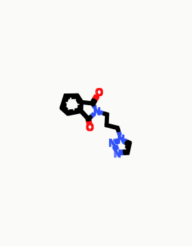 O=C1c2ccccc2C(=O)N1CCCn1ccnn1